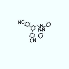 N#Cc1ccc(-c2cc(Cc3nc(-c4ccccc4)nc(-c4ccccc4)n3)cc(-c3ccc(C#N)cc3)c2)cc1